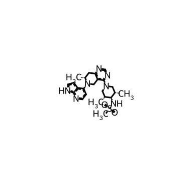 C[C@@H]1CN(c2ncnc3c2CN(c2ccnc4[nH]ccc24)[C@H](C)C3)C[C@H](C)[C@H]1NS(C)(=O)=O